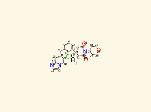 CC1(c2cccc(Cc3ccn4ccnc4c3)c2Cl)CC(=O)N(C2CCOCC2)C(=O)C1